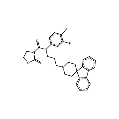 O=C1OCCN1C(=O)N(CCCN1CCC2(CC1)c1ccccc1-c1ccccc12)c1ccc(F)c(F)c1